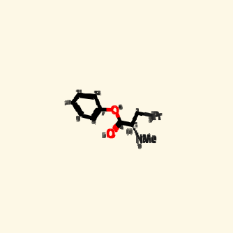 CN[C@@H](CC(C)C)C(=O)Oc1ccccc1